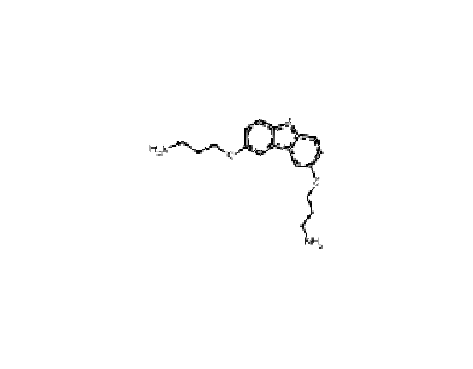 NCCCOc1ccc2sc3ccc(OCCCN)cc3c2c1